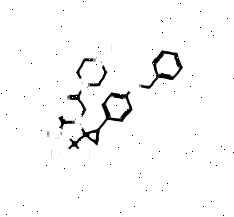 CN1CCN(C(=O)CN(C(=O)O)C2(C(C)(C)C)CC2c2ccc(OCc3ccccc3)cc2)CC1